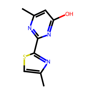 Cc1cc(O)nc(-c2nc(C)cs2)n1